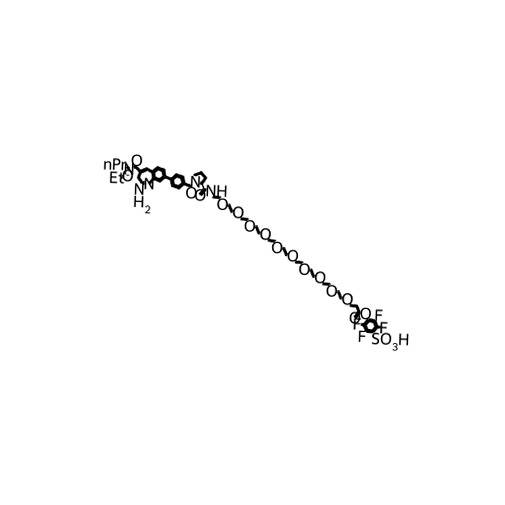 CCCN(OCC)C(=O)C1=Cc2ccc(-c3ccc(C(=O)N4CCC[C@H]4C(=O)NCCOCCOCCOCCOCCOCCOCCOCCOCCOCCOCCC(=O)Oc4c(F)c(F)c(S(=O)(=O)O)c(F)c4F)cc3)cc2N=C(N)C1